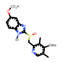 CCn1c([S+]([O-])Cc2ncc(C)c(OC)c2C)nc2cc(OC(=O)O)ccc21